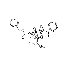 NN1CCC[C@](NC(=O)OCc2ccccc2)([PH](=O)NC(=O)Nc2ccccc2)C1=O